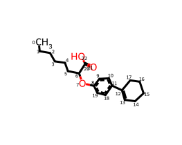 CCCCCCC(Oc1ccc(C2=CCCCC2)cc1)C(=O)O